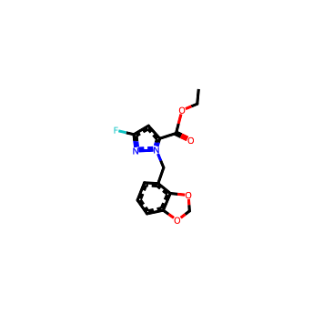 CCOC(=O)c1cc(F)nn1Cc1cccc2c1OCO2